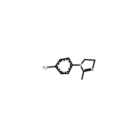 CC1=NCCN1c1ccc(N)cc1